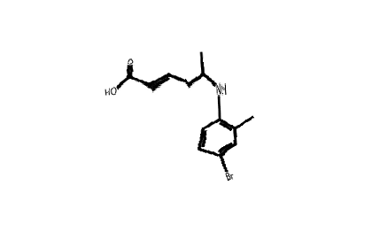 Cc1cc(Br)ccc1NC(C)CC=CC(=O)O